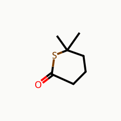 CC1(C)CCCC(=O)S1